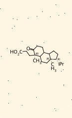 CC(C)[C@H]1CCC2C3CCC(=O)[C@](C)(CCC(=O)O)C3CC[C@@]21C